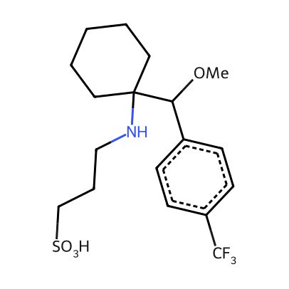 COC(c1ccc(C(F)(F)F)cc1)C1(NCCCS(=O)(=O)O)CCCCC1